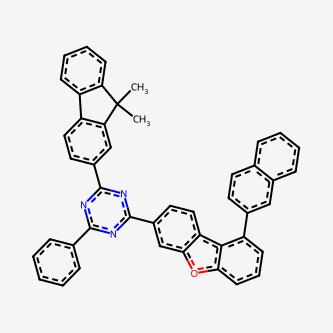 CC1(C)c2ccccc2-c2ccc(-c3nc(-c4ccccc4)nc(-c4ccc5c(c4)oc4cccc(-c6ccc7ccccc7c6)c45)n3)cc21